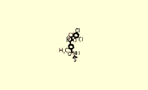 Cc1cc(C2=NOC(c3cc(Cl)cc(Cl)c3)(C(F)(F)F)C2=O)ccc1C(=O)NC1CSC1